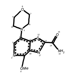 COc1ncc(N2CCOCC2)c2sc(C(N)=O)nc12